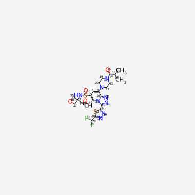 C#CC1(NS(=O)(=O)c2cc(N3CCN(C(=O)C(C)C)CC3)c3nnc(-c4nnc(C(F)F)s4)n3c2)COC1